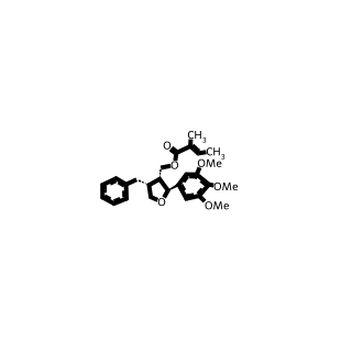 CC=C(C)C(=O)OC[C@H]1[C@@H](Cc2ccccc2)CO[C@@H]1c1cc(OC)c(OC)c(OC)c1